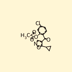 CS(=O)(=O)Oc1cc(Cl)ccc1C(=O)c1cnoc1C1CC1